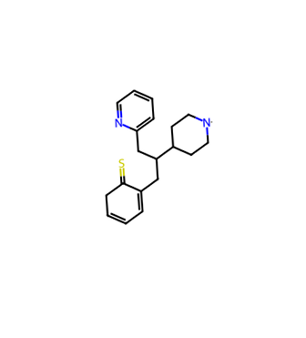 S=C1CC=CC=C1CC(Cc1ccccn1)C1CC[N]CC1